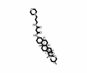 C=C[C@]12[C@H](C[C@H]3[C@@H]4CC[C@@H]5C[C@H](NC(=O)CC(=O)NCCCN6CCOCC6)CC[C@]5(C)[C@H]4CC[C@@]31C)O[C@]1(CC[C@H](C)CO1)[C@H]2C